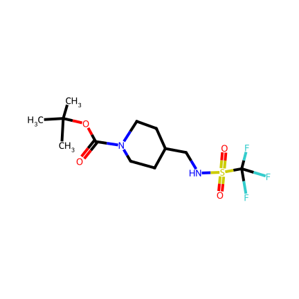 CC(C)(C)OC(=O)N1CCC(CNS(=O)(=O)C(F)(F)F)CC1